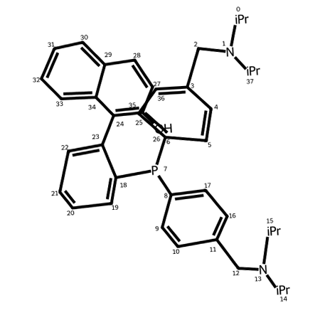 CC(C)N(Cc1ccc(P(c2ccc(CN(C(C)C)C(C)C)cc2)c2ccccc2-c2c(O)ccc3ccccc23)cc1)C(C)C